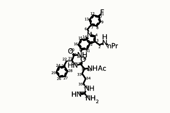 CCCNCc1cn(Cc2ccc(F)cc2)c2ccc(NC(=O)[C@H](Cc3ccccc3)NC(=O)C(CCCNC(=N)N)NC(C)=O)cc12